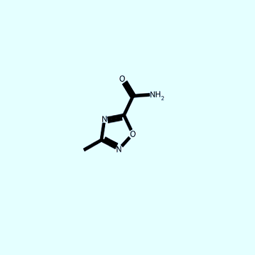 Cc1noc(C(N)=O)n1